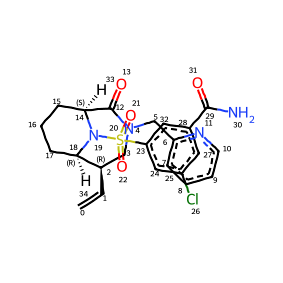 C=C[C@@H]1CN(Cc2ccccn2)C(=O)[C@@H]2CCC[C@H]1N2S(=O)(=O)c1cc(Cl)cc(C(N)=O)c1